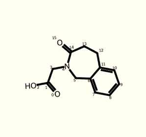 O=C(O)CN1Cc2ccccc2CCC1=O